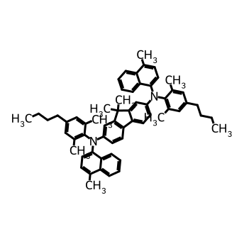 CCCCc1cc(C)c(N(c2ccc3c(c2)C(C)(C)c2cc(N(c4c(C)cc(CCCC)cc4C)c4ccc(C)c5ccccc45)ccc2-3)c2ccc(C)c3ccccc23)c(C)c1